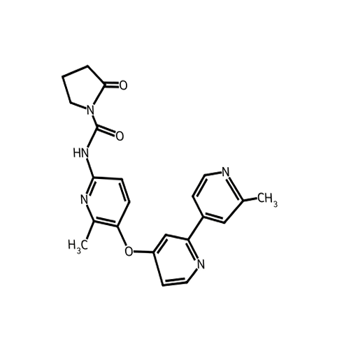 Cc1cc(-c2cc(Oc3ccc(NC(=O)N4CCCC4=O)nc3C)ccn2)ccn1